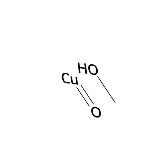 CO.[O]=[Cu]